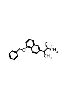 CC(C)C(C)c1ccc2c(OCc3ccccc3)cccc2c1